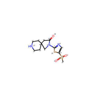 CS(=O)(=O)c1cnc(N2CC3(CCNCC3)CC2=O)s1